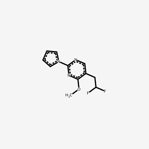 COc1nc(-n2cccc2)ncc1CC(F)F